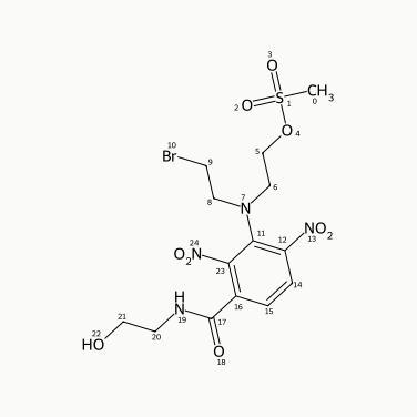 CS(=O)(=O)OCCN(CCBr)c1c([N+](=O)[O-])ccc(C(=O)NCCO)c1[N+](=O)[O-]